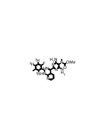 [2H]c1c([2H])c(F)c(CNc2ncccc2C(=N)c2nc(N)c(N(C)C(=O)OC)c(N)n2)c([2H])c1C